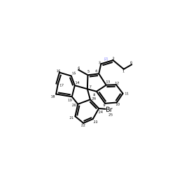 CC/C=C\C1=C(C)C2(c3ccccc31)c1ccccc1-c1cccc(Br)c12